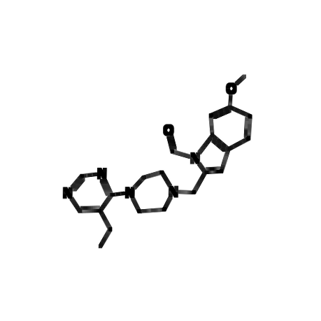 CCc1cncnc1N1CCN(Cc2cc3ccc(OC)cc3n2C=O)CC1